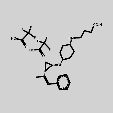 CC(=Cc1ccccc1)[C@@H]1C[C@H]1N[C@H]1CC[C@H](NCCCC(=O)O)CC1.O=C(O)C(F)(F)F.O=C(O)C(F)(F)F